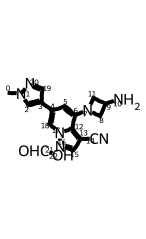 Cn1cc(-c2cc(N3CC(N)C3)c3c(C#N)cnn3c2)cn1.O=CO